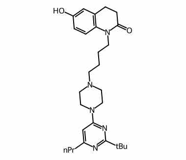 CCCc1cc(N2CCN(CCCCN3C(=O)CCc4cc(O)ccc43)CC2)nc(C(C)(C)C)n1